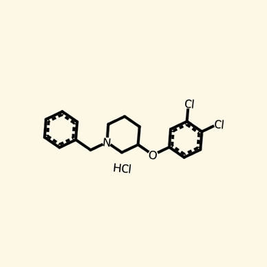 Cl.Clc1ccc(OC2CCCN(Cc3ccccc3)C2)cc1Cl